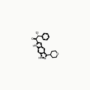 CC[C@@H](C(=O)c1cc2cc3c(C4CCOCC4)n[nH]c3cc2[nH]1)c1ccccc1